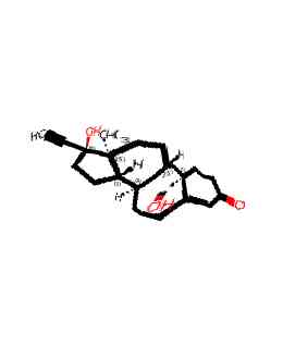 C#C[C@@]1(O)CC[C@H]2[C@@H]3CCC4=CC(=O)CC[C@]4(CO)[C@H]3CC[C@@]21C